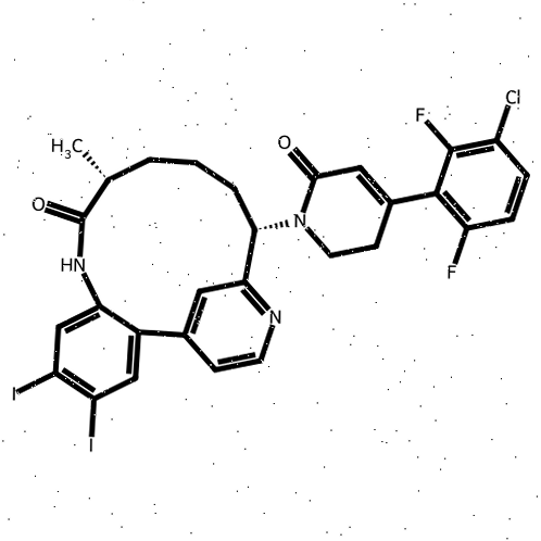 C[C@@H]1CCC[C@H](N2CCC(c3c(F)ccc(Cl)c3F)=CC2=O)c2cc(ccn2)-c2cc(I)c(I)cc2NC1=O